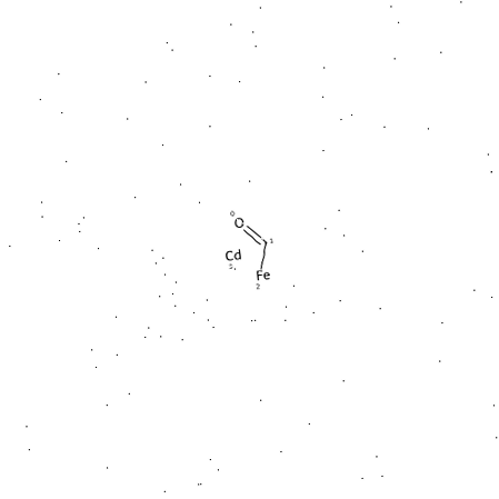 O=[CH][Fe].[Cd]